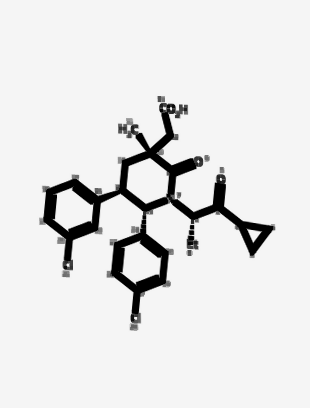 CC[C@@H](C(=O)C1CC1)N1C(=O)[C@@](C)(CC(=O)O)C[C@H](c2cccc(Cl)c2)[C@H]1c1ccc(Cl)cc1